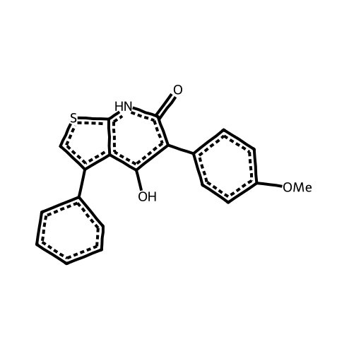 COc1ccc(-c2c(O)c3c(-c4ccccc4)csc3[nH]c2=O)cc1